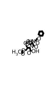 CC(=O)OCC1=C(C(=O)O)N2C(=O)[C@@H](NC(=O)COc3ccccc3)[C@H]2S(=O)(=O)C1